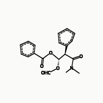 CN(C)C(=O)[C@H](c1ccccc1)[C@H](OC=O)OC(=O)c1ccccc1